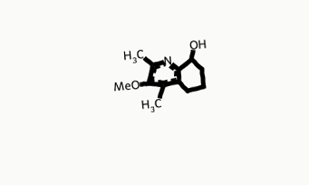 COc1c(C)nc2c(c1C)CCCC2O